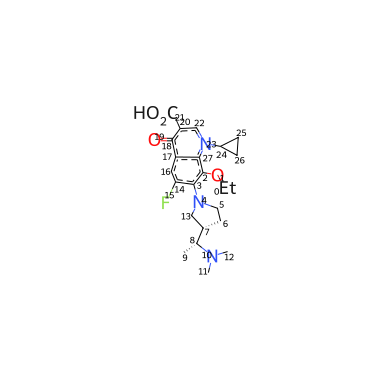 CCOc1c(N2CC[C@H]([C@@H](C)N(C)C)C2)c(F)cc2c(=O)c(C(=O)O)cn(C3CC3)c12